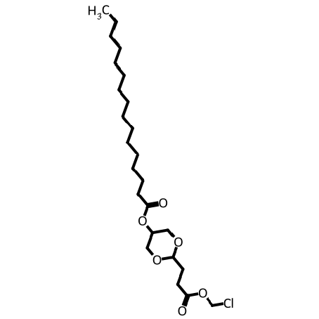 CCCCCCCCCCCCCCCC(=O)OC1COC(CCC(=O)OCCl)OC1